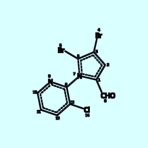 O=Cc1cc(Br)c(Br)n1-c1ncccc1Cl